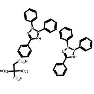 CCCCCCCCC(CCCCCCCC)(CC(=O)O)C(=O)O.c1ccc(C2=NN(c3ccccc3)N(c3ccccc3)N2)cc1.c1ccc(C2=NN(c3ccccc3)N(c3ccccc3)N2)cc1